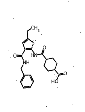 CCc1cc(C(=O)NCc2ccccc2)c(NC(=O)C2CCC(C(=O)O)CC2)s1